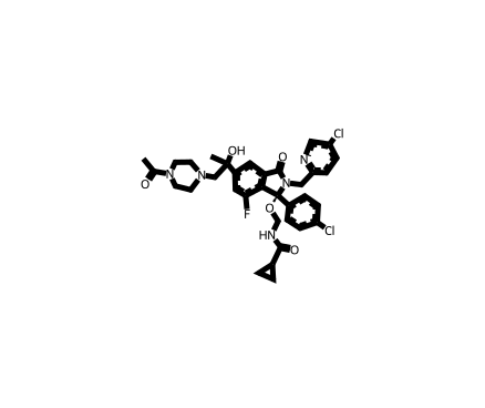 CC(=O)N1CCN(CC(C)(O)c2cc(F)c3c(c2)C(=O)N(Cc2ccc(Cl)cn2)[C@@]3(OCNC(=O)C2CC2)c2ccc(Cl)cc2)CC1